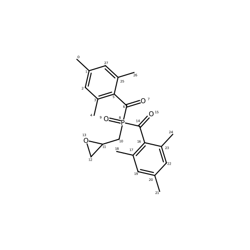 Cc1cc(C)c(C(=O)P(=O)(CC2CO2)C(=O)c2c(C)cc(C)cc2C)c(C)c1